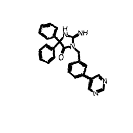 N=C1NC(c2ccccc2)(c2ccccc2)C(=O)N1Cc1cccc(-c2cncnc2)c1